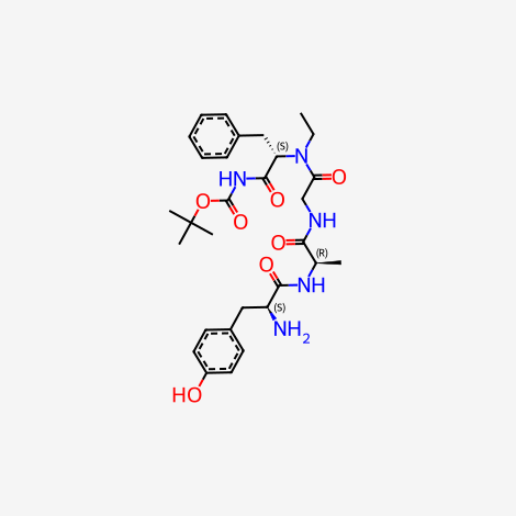 CCN(C(=O)CNC(=O)[C@@H](C)NC(=O)[C@@H](N)Cc1ccc(O)cc1)[C@@H](Cc1ccccc1)C(=O)NC(=O)OC(C)(C)C